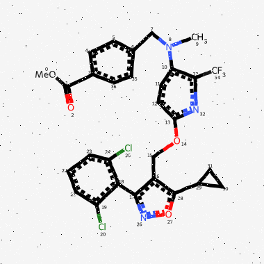 COC(=O)c1ccc(CN(C)c2ccc(OCc3c(-c4c(Cl)cccc4Cl)noc3C3CC3)nc2C(F)(F)F)cc1